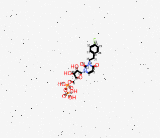 O=c1ccn([C@@H]2O[C@H](COP(=O)(O)OP(=O)(O)O)C(O)[C@@H]2O)c(=O)n1CCc1ccc(F)cc1